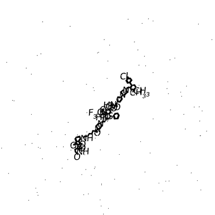 CC1(C)CCC(c2ccc(Cl)cc2)=C(CN2CCN(c3ccc(C(=O)NS(=O)(=O)c4ccc(N[C@H](CCN5CCN(C(=O)CCCCCNc6cccc7c6C(=O)N(C6CCC(=O)NC6=O)C7=O)CC5)CSc5ccccc5)c(S(=O)(=O)C(F)(F)F)c4)cc3)CC2)C1